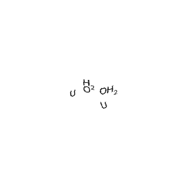 O.O.[U].[U]